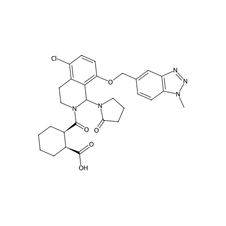 Cn1nnc2cc(COc3ccc(Cl)c4c3C(N3CCCC3=O)N(C(=O)[C@@H]3CCCC[C@@H]3C(=O)O)CC4)ccc21